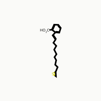 O=C(O)c1ccccc1C=CCCCCCCCCC1CS1